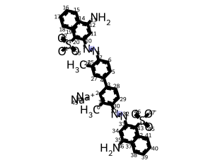 Cc1cc(-c2ccc(/N=N/c3cc(N)c4ccccc4c3S(=O)(=O)[O-])c(C)c2)ccc1/N=N/c1cc(N)c2ccccc2c1S(=O)(=O)[O-].[Na+].[Na+]